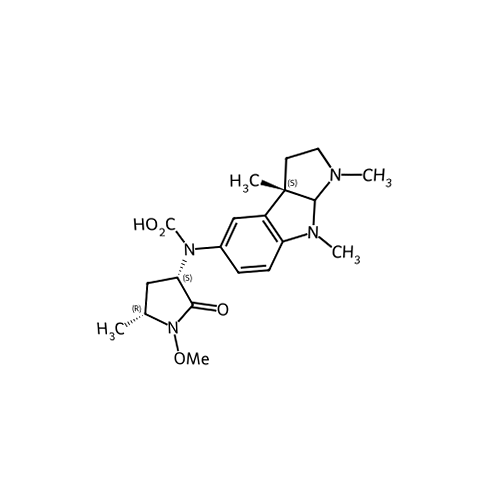 CON1C(=O)[C@@H](N(C(=O)O)c2ccc3c(c2)[C@]2(C)CCN(C)C2N3C)C[C@H]1C